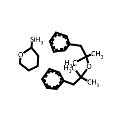 CC(C)(Cc1ccccc1)OC(C)(C)Cc1ccccc1.[SiH3]C1CCCCO1